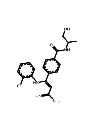 CC(CO)NC(=O)c1ccc(/C(=C/C(=N)C(F)(F)F)Nc2ccccc2Cl)cc1